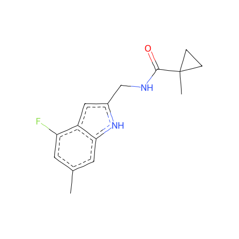 Cc1cc(F)c2cc(CNC(=O)C3(C)CC3)[nH]c2c1